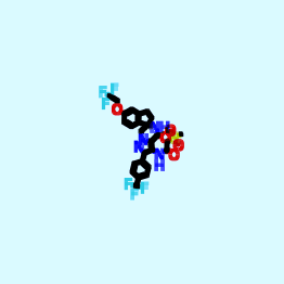 CS(=O)(=O)CC(=O)Nc1c(-c2ccc(C(F)(F)F)cc2)nn2c1C(=O)N[C@]1(CCc3cc(OCC(F)(F)F)ccc31)C2